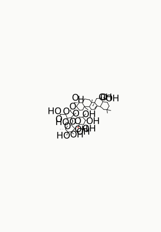 C[C@@H]1O[C@@H](O[C@@H]2C(O[C@@H]3OC(CO)[C@@H](O)[C@H](O)C3O)[C@H](O[C@H]3CCC4(C)C5CC=C6C7CC(C)(C)CC[C@]7(C(=O)O)C(O)C[C@@]6(C)[C@@]5(C)CC[C@H]4[C@@]3(C)C=O)OC(C(=O)O)[C@H]2O)C(O)C(O)[C@H]1O